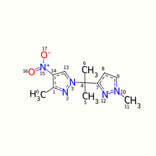 Cc1nn(C(C)(C)c2ccn(C)n2)cc1[N+](=O)[O-]